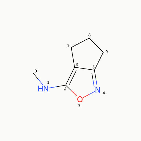 CNc1onc2c1CCC2